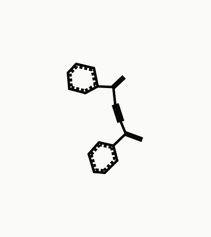 C=C(C#CC(=C)c1ccccc1)c1ccccc1